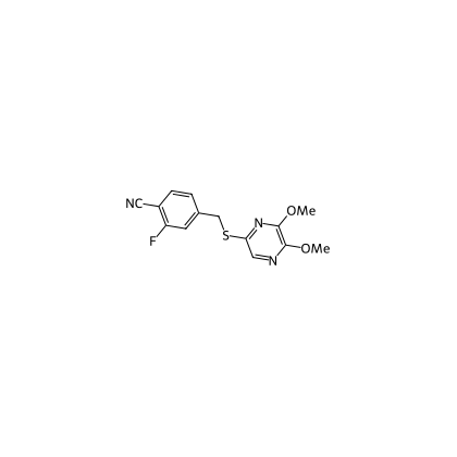 COc1ncc(SCc2ccc(C#N)c(F)c2)nc1OC